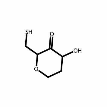 O=C1C(O)CCOC1CS